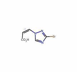 O=C(O)/C=C\n1cnc(Br)n1